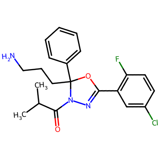 CC(C)C(=O)N1N=C(c2cc(Cl)ccc2F)OC1(CCCN)c1ccccc1